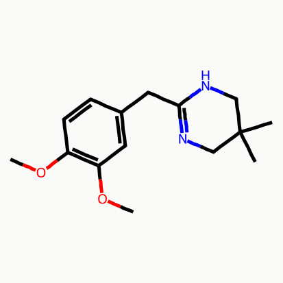 COc1ccc(CC2=NCC(C)(C)CN2)cc1OC